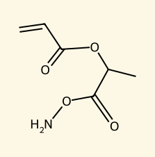 C=CC(=O)OC(C)C(=O)ON